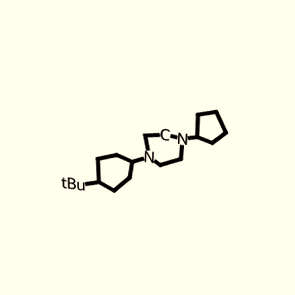 CC(C)(C)C1CCC(N2CCN(C3CCCC3)CC2)CC1